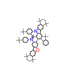 CC(C)(C)c1ccc(N2B3c4cc(C(C)(C)C)ccc4-n4c5cc6c(cc5c5c7c(c(c3c54)-c3cc4oc5cc8c(cc5c4cc32)C(C)(C)CCC8(C)C)-c2ccccc2C7(C)C)C(C)(C)CCC6(C)C)cc1